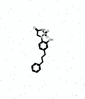 O=C1CN(c2ccc(CCCc3ccccc3)cc2O)S(=O)(=O)N1